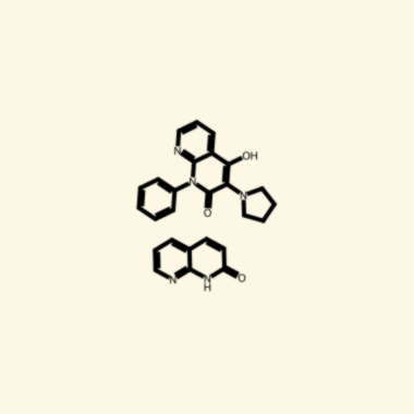 O=c1c(N2CCCC2)c(O)c2cccnc2n1-c1ccccc1.O=c1ccc2cccnc2[nH]1